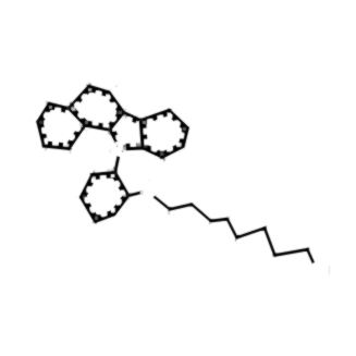 SCCCCCCCCOc1ccccc1-n1c2ccccc2c2ccc3ccccc3c21